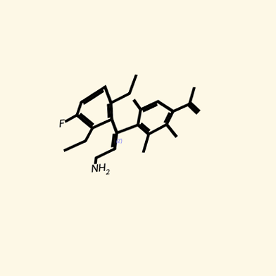 C=C(C)c1cc(C)c(/C(=C/CN)c2c(CC)ccc(F)c2CC)c(C)c1C